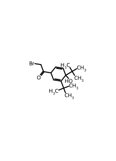 CC(C)(C)C1=CC(C(=O)CBr)C=CC1(O)C(C)(C)C